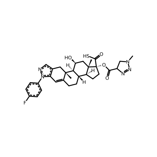 CN1CC(C(=O)O[C@]2(C(=O)S)CC[C@H]3[C@@H]4CCC5=Cc6c(cnn6-c6ccc(F)cc6)C[C@]5(C)[C@H]4[C@@H](O)C[C@@]32C)N=N1